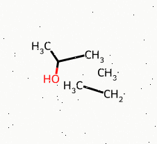 CC(C)O.[CH2]C.[CH3]